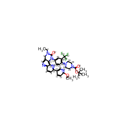 CCN1Cc2cnc3ccc(-c4ccc(OC)nc4)nc3c2N(c2ccc(N3CCN(C(=O)OC(C)(C)C)CC3)c(C(F)(F)F)c2)C1=O